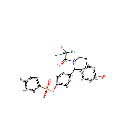 Cc1ccc(S(=O)(=O)Oc2ccc(C3c4ccc(O)cc4CCN3C(=O)C(F)(F)F)cc2)cc1